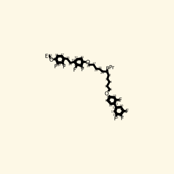 CCCC(CCCCCOc1ccc(-c2cc(F)c(F)c(F)c2)c(F)c1)CCCCCOc1ccc(CCc2ccc(OCC)c(F)c2F)c(F)c1F